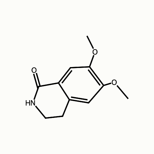 COc1cc2c(cc1OC)C(=O)NCC2